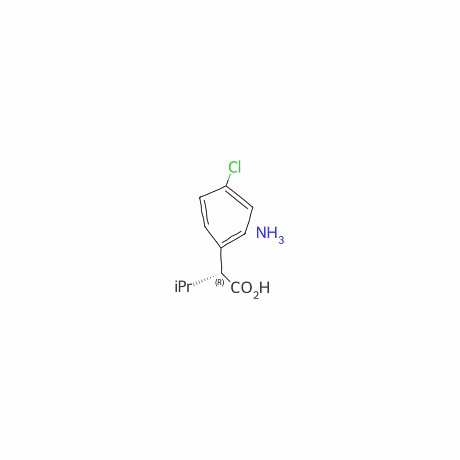 CC(C)[C@@H](C(=O)O)c1ccc(Cl)cc1.N